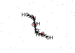 O=C(NCCSCC/N=C\[S+]([O-])CCSCCSC(=O)NCCSCC/N=C\OOCCSCCO)OCCSCCO